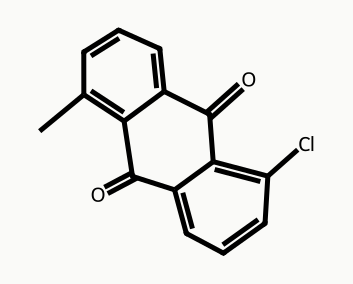 Cc1cccc2c1C(=O)c1cccc(Cl)c1C2=O